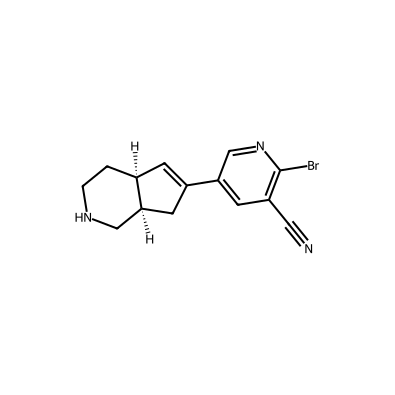 N#Cc1cc(C2=C[C@@H]3CCNC[C@@H]3C2)cnc1Br